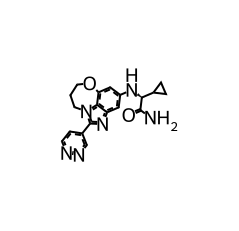 NC(=O)[C@@H](Nc1cc2c3c(c1)nc(-c1ccnnc1)n3CCCO2)C1CC1